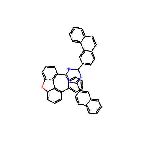 c1ccc(-c2cccc3oc4cccc(C5=NC(c6ccc7ccccc7c6)=NC(c6ccc7ccc8ccccc8c7c6)N5)c4c23)cc1